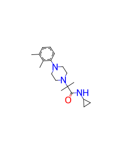 Cc1cccc(N2CCN(C(C)(C)C(=O)NC3CC3)CC2)c1C